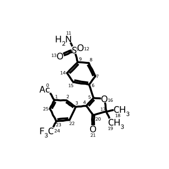 CC(=O)c1cc(C2=C(c3ccc(S(N)(=O)=O)cc3)OC(C)(C)C2=O)cc(C(F)(F)F)c1